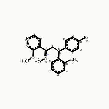 COc1nnccc1/C(C[C@@H](c1ccc(Br)cc1)c1ccccc1C)=N\O